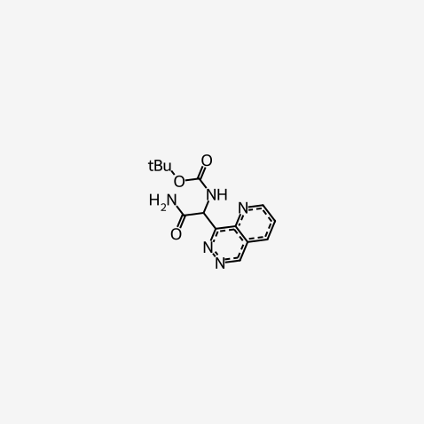 CC(C)(C)OC(=O)NC(C(N)=O)c1nncc2cccnc12